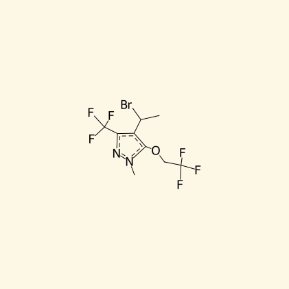 CC(Br)c1c(C(F)(F)F)nn(C)c1OCC(F)(F)F